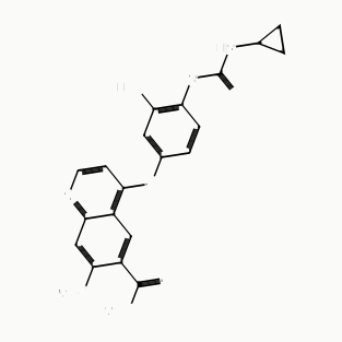 COC(=O)c1cc2c(Oc3ccc(NC(=O)NC4CC4)c(C)c3)ccnc2cc1OC